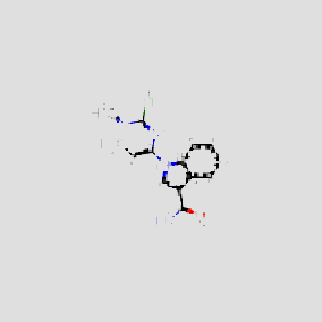 C=N/C(Cl)=N\C(=C/C)n1cc(C(N)=O)c2ccccc21